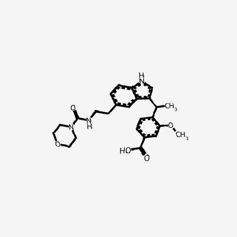 COc1cc(C(=O)O)ccc1C(C)c1c[nH]c2ccc(CCNC(=O)N3CCOCC3)cc12